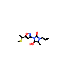 C=CCN1C(=O)N(c2cc(C(C)SC)on2)C(O)C1C